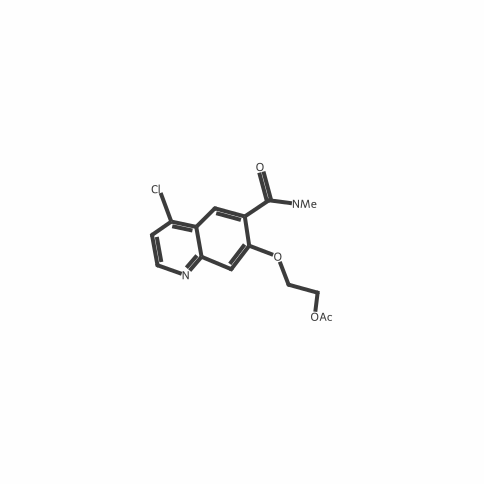 CNC(=O)c1cc2c(Cl)ccnc2cc1OCCOC(C)=O